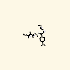 C/N=C/N=C\C(=NN(C)/N=C(C)/C(C)=C(\C)O)N1CCC(N(C)C)CC1